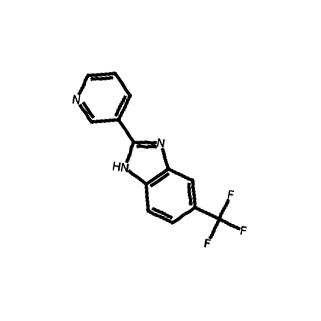 FC(F)(F)c1ccc2[nH]c(-c3cccnc3)nc2c1